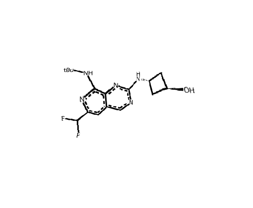 CC(C)(C)Nc1nc(C(F)F)cc2cnc(N[C@H]3C[C@H](O)C3)nc12